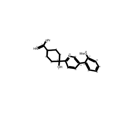 C[CH]CC(=N)C1CCC(O)(c2ccc(-c3ccccc3OC)cn2)CC1